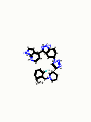 COc1cccc(F)c1CN1CCC[C@@H](c2cn(-c3ccc4[nH]nc(-c5ccnc6[nH]ccc56)c4c3)nn2)C1